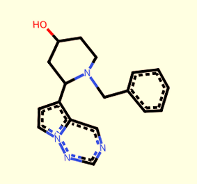 OC1CCN(Cc2ccccc2)C(c2ccn3ncncc23)C1